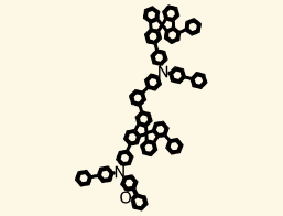 c1ccc(-c2ccc(N(c3ccc(-c4cccc(-c5ccc6c(c5)-c5ccc(-c7ccc(N(c8ccc(-c9ccccc9)cc8)c8ccc9c(c8)oc8ccccc89)cc7)cc5C65c6ccccc6-c6c(-c7ccccc7)cccc65)c4)cc3)c3ccc(-c4ccc5c(c4)C4(c6ccccc6-5)c5ccccc5-c5c(-c6ccccc6)cccc54)cc3)cc2)cc1